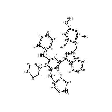 CCOc1cc(F)c(Cn2nc(-c3nc(Nc4ccncn4)c(N4CCOCC4)c(Nc4ccncn4)n3)c3ccccc32)c(F)c1